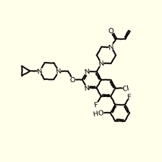 C=CC(=O)N1CCN(c2nc(OCN3CCN(C4CC4)CC3)nc3c(F)c(-c4c(O)cccc4F)c(Cl)cc23)CC1